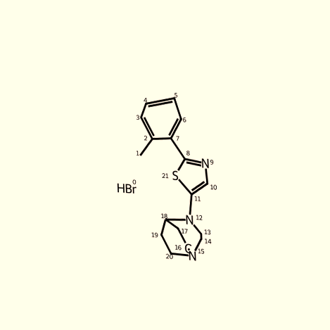 Br.Cc1ccccc1-c1ncc(N2CCN3CCC2CC3)s1